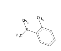 Cc1ccccc1[Si](C)C